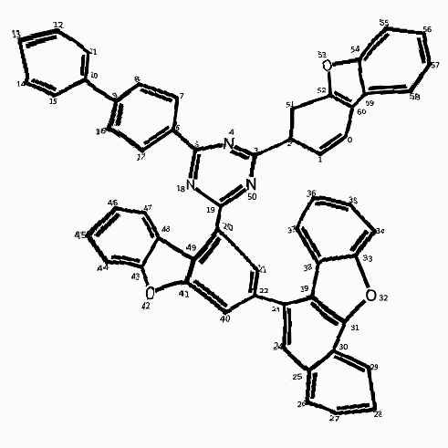 C1=CC(c2nc(-c3ccc(-c4ccccc4)cc3)nc(-c3cc(-c4cc5ccccc5c5oc6ccccc6c45)cc4oc5ccccc5c34)n2)Cc2oc3ccccc3c21